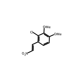 COc1ccc(/C=C/[N+](=O)[O-])c(Cl)c1OC